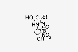 CCC(C(=O)O)C1=NS(=O)(=O)c2c(ccc(O)c2[N+](=O)[O-])N1